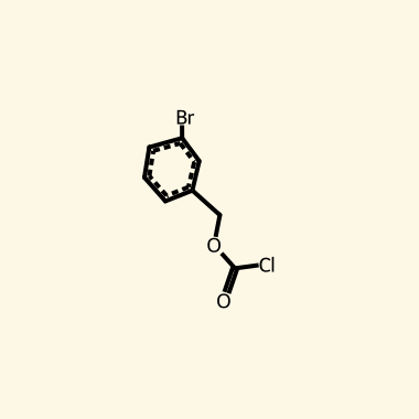 O=C(Cl)OCc1cccc(Br)c1